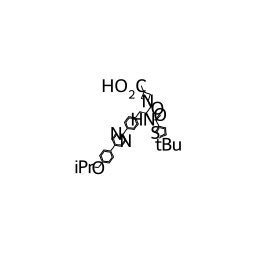 CC(C)Oc1ccc(-c2cnc(-c3ccc(C[C@H](NC(=O)c4ccc(C(C)(C)C)s4)C(=O)N4CC(C(=O)O)C4)cc3)nc2)cc1